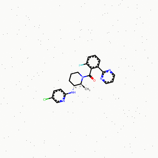 C[C@H]1[C@H](Nc2ccc(Cl)cn2)CCCN1C(=O)c1c(F)cccc1-c1ncccn1